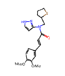 COc1ccc(/C=C/C(=O)N(CC2CCCS2)c2cc[nH]n2)cc1OC